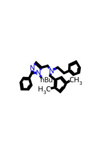 CCCCn1c(CN(CCc2ccccc2)Cc2cc(C)ccc2C)cnc1-c1ccccc1